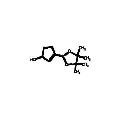 CC1(C)OB(C2=CC(O)CC2)OC1(C)C